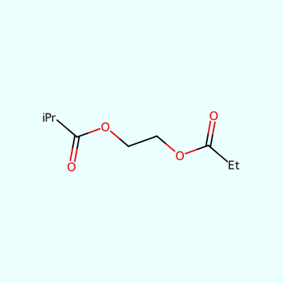 CCC(=O)OCCOC(=O)C(C)C